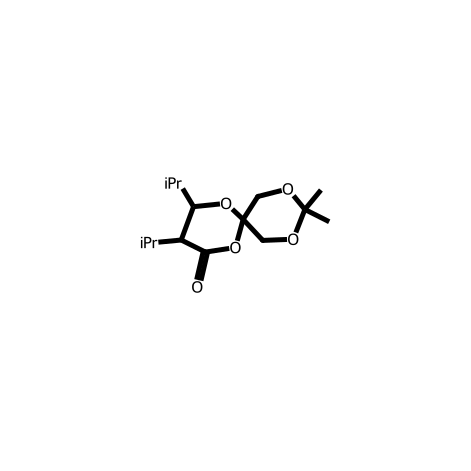 CC(C)C1OC2(COC(C)(C)OC2)OC(=O)C1C(C)C